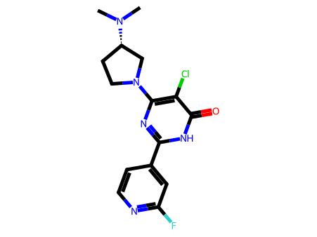 CN(C)[C@H]1CCN(c2nc(-c3ccnc(F)c3)[nH]c(=O)c2Cl)C1